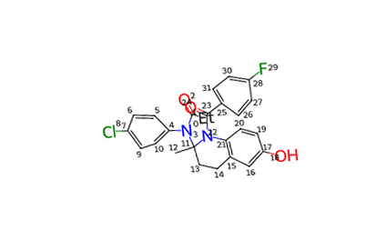 CCC(=O)N(c1ccc(Cl)cc1)C1(C)CCc2cc(O)ccc2N1C(=O)c1ccc(F)cc1